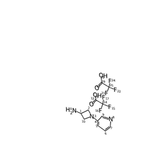 NC1CN(c2cccnc2)C1.O=C(O)C(F)(F)F.O=C(O)C(F)(F)F